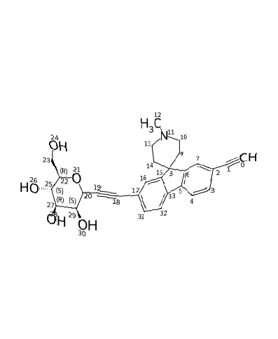 C#Cc1ccc2c(c1)C1(CCN(C)CC1)c1cc(C#CC3O[C@H](CO)[C@@H](O)[C@H](O)[C@@H]3O)ccc1-2